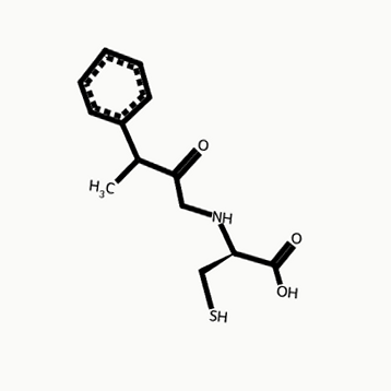 CC(C(=O)CN[C@H](CS)C(=O)O)c1ccccc1